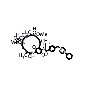 CO[C@H]1/C=C\C=C(/C)C(=O)NC2=CC(=O)C(NC(=O)c3ccc(CN4CCN(C5CCCCC5)CC4)cc3)=C(C[C@@H](C)C[C@H](OC)[C@H](O)[C@@H](C)/C=C(\C)[C@@H]1OC(N)=O)C2=O